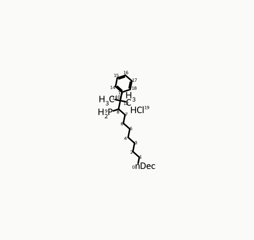 CCCCCCCCCCCCCCCCCC(P)C(C)(C)c1ccccc1.Cl